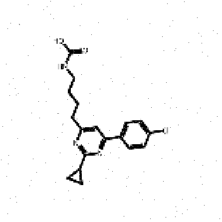 O=C(O)NCCCCc1cc(-c2ccc(Cl)cc2)nc(C2CC2)n1